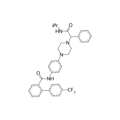 CC(C)NC(=O)C(c1ccccc1)N1CCN(c2ccc(NC(=O)c3ccccc3-c3ccc(C(F)(F)F)cc3)cc2)CC1